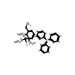 O=C(O)C1C(CC(F)(F)F)=CC=CC1(C(=O)O)C(F)(F)S(=O)(=O)O.c1ccc([S+](c2ccccc2)c2ccccc2)cc1